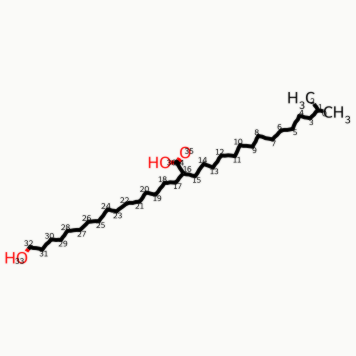 CC(C)CCCCCCCCCCCCCC(CCCCCCCCCCCCCCCCO)C(=O)O